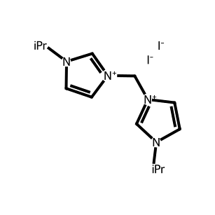 CC(C)n1cc[n+](C[n+]2ccn(C(C)C)c2)c1.[I-].[I-]